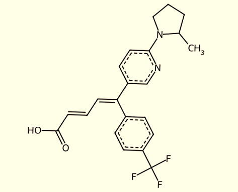 CC1CCCN1c1ccc(/C(=C/C=C/C(=O)O)c2ccc(C(F)(F)F)cc2)cn1